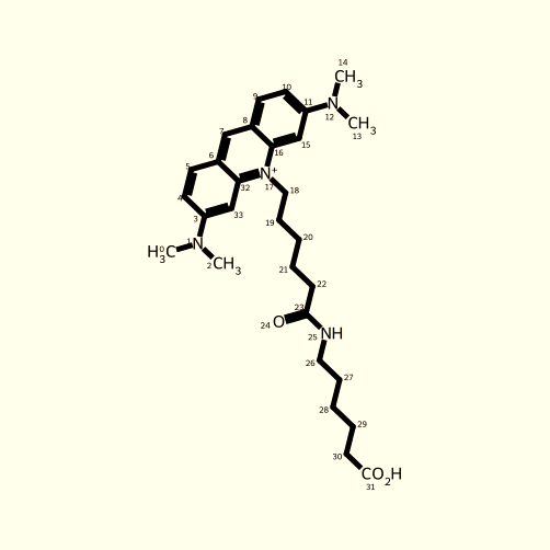 CN(C)c1ccc2cc3ccc(N(C)C)cc3[n+](CCCCCC(=O)NCCCCCC(=O)O)c2c1